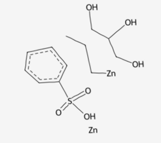 CC[CH2][Zn].O=S(=O)(O)c1ccccc1.OCC(O)CO.[Zn]